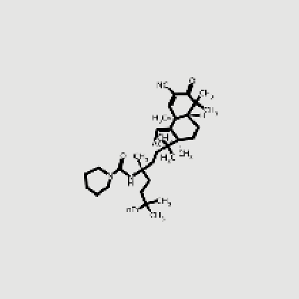 CCCC(C)(C)CC[C@@](C)(CCC(C)(C)[C@]1(C)CC[C@H]2C(C)(C)C(=O)C(C#N)=C[C@]2(C)/C1=C/C(C)=O)NC(=O)N1CCCCC1